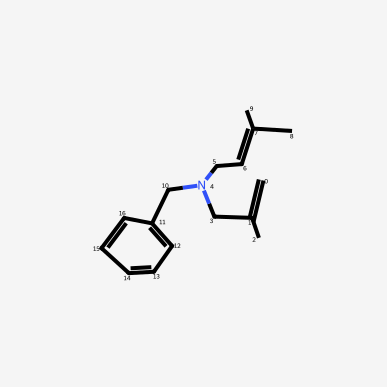 C=C(C)CN(CC=C(C)C)Cc1ccccc1